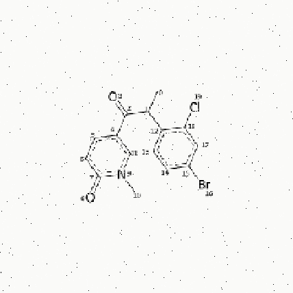 CC(C(=O)c1ccc(=O)n(C)c1)c1ccc(Br)cc1Cl